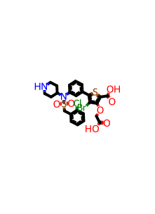 O=C(O)COc1c(C(=O)O)sc(-c2cccc(N(C3CCNCC3)S(=O)(=O)Cc3ccccc3Cl)c2)c1Br